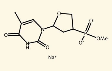 COP(=O)([O-])C1COC(n2cc(C)c(=O)[nH]c2=O)C1.[Na+]